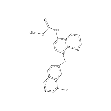 CC(C)(C)OC(=O)Nc1cc[n+](Cc2ccc3cncc(Br)c3c2)c2ncccc12